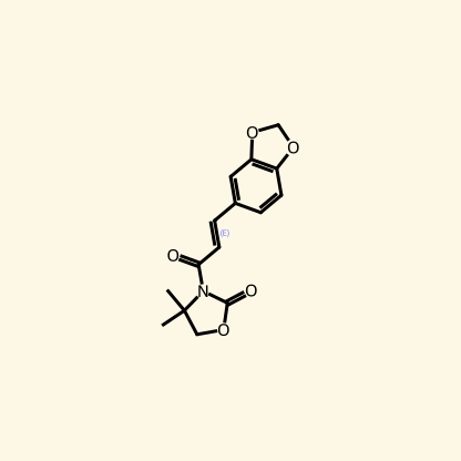 CC1(C)COC(=O)N1C(=O)/C=C/c1ccc2c(c1)OCO2